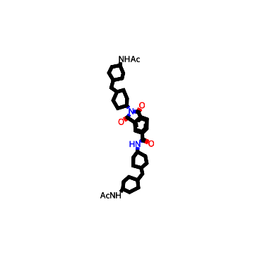 CC(=O)NC1CCC(CC2CCC(NC(=O)c3ccc4c(c3)C(=O)N(C3CCC(CC5CCC(NC(C)=O)CC5)CC3)C4=O)CC2)CC1